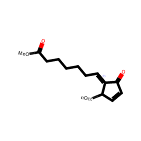 CCCCCCCCC1C=CC(=O)/C1=C/CCCCCC(=O)OC